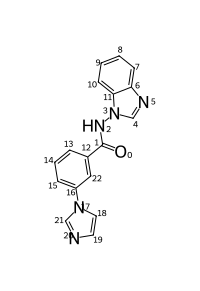 O=C(Nn1cnc2ccccc21)c1cccc(-n2ccnc2)c1